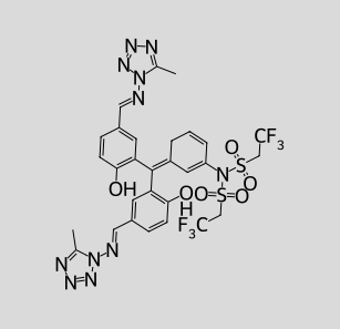 Cc1nnnn1N=Cc1ccc(O)c(C(=C2C=C(N(S(=O)(=O)CC(F)(F)F)S(=O)(=O)CC(F)(F)F)C=CC2)c2cc(C=Nn3nnnc3C)ccc2O)c1